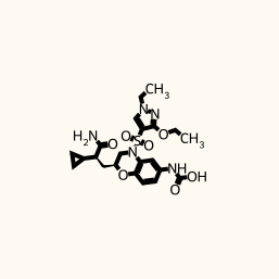 CCOc1nn(CC)cc1S(=O)(=O)N1C[C@H](C[C@H](C(N)=O)C2CC2)Oc2ccc(NC(=O)O)cc21